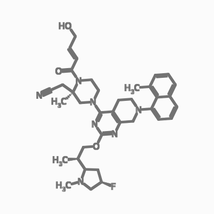 Cc1cccc2cccc(N3CCc4c(nc(OC[C@H](C)C5C[C@@H](F)CN5C)nc4N4CCN(C(=O)/C=C/CO)[C@](C)(CC#N)C4)C3)c12